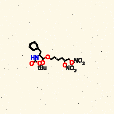 CC(C)(C)OC(=O)NC(Cc1ccccc1)C(=O)OCCCCC(CO[N+](=O)[O-])O[N+](=O)[O-]